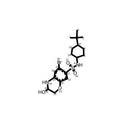 CC(C)(C)C1CCC(NS(=O)(=O)c2cc3c(cc2Br)NC(O)CO3)CC1